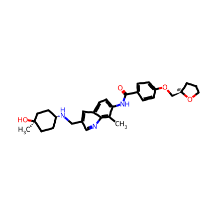 Cc1c(NC(=O)c2ccc(OC[C@H]3CCCO3)cc2)ccc2cc(CN[C@H]3CC[C@](C)(O)CC3)cnc12